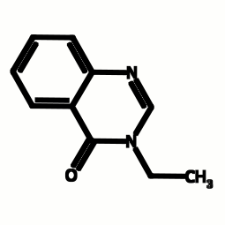 CCn1cnc2ccccc2c1=O